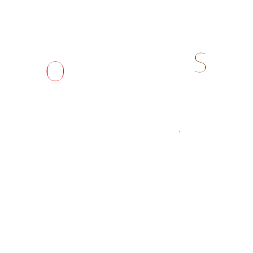 CC(=O)[C]=S